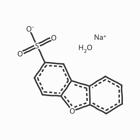 O.O=S(=O)([O-])c1ccc2oc3ccccc3c2c1.[Na+]